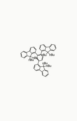 CCCCC1(CCCC)c2ccccc2-c2cccc(-c3ccc(-c4cccc5c4C(CCCC)(CCCC)c4ccccc4-5)c(-c4cccc5c4C(CCCC)(CCCC)c4ccccc4-5)c3)c21